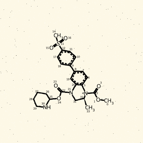 COC(=O)N1c2ccc(-c3ccc(S(C)(=O)=O)cc3)cc2N(C(=O)OC2CCCCN2)C[C@@H]1C